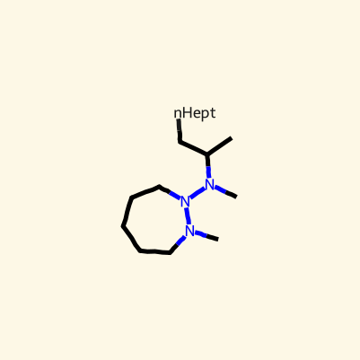 CCCCCCCCC(C)N(C)N1CCCCCN1C